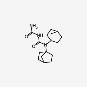 NC(=O)NC(=O)N(C12CCC(CC1)C2)C12CCC(CC1)C2